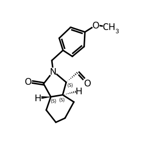 COc1ccc(CN2C(=O)[C@H]3CCCC[C@@H]3[C@H]2C=O)cc1